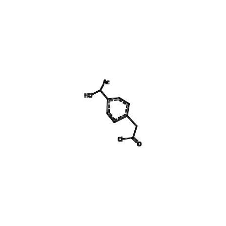 CC(=O)C(O)c1ccc(CC(=O)Cl)cc1